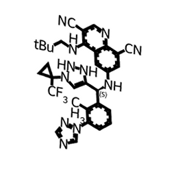 Cc1c([C@H](Nc2cc(C#N)c3ncc(C#N)c(NCC(C)(C)C)c3c2)C2=CN(C3(C(F)(F)F)CC3)NN2)cccc1-n1cncn1